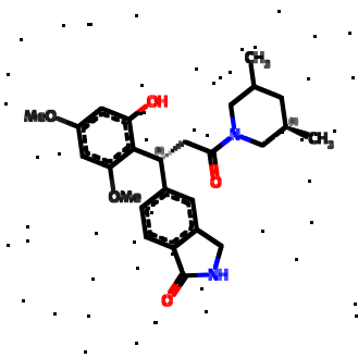 COc1cc(O)c([C@H](CC(=O)N2CC(C)C[C@@H](C)C2)c2ccc3c(c2)CNC3=O)c(OC)c1